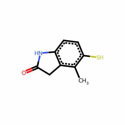 Cc1c(S)ccc2c1CC(=O)N2